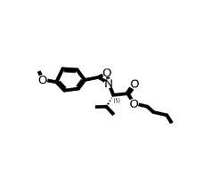 CCCCOC(=O)[C@H](C(C)C)N1OC1c1ccc(OC)cc1